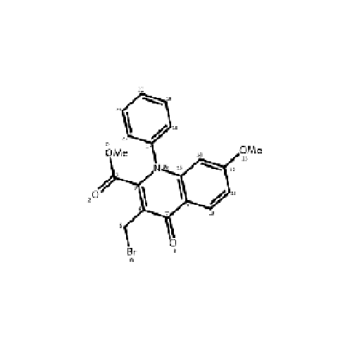 COC(=O)c1c(CBr)c(=O)c2ccc(OC)cc2n1-c1ccccc1